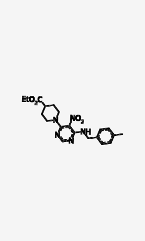 CCOC(=O)C1CCN(c2ncnc(NCc3ccc(C)cc3)c2[N+](=O)[O-])CC1